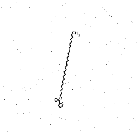 CCCCCCCCCCCCCCCCCCCCCCCCCCCCOC(=O)C1CCCS1